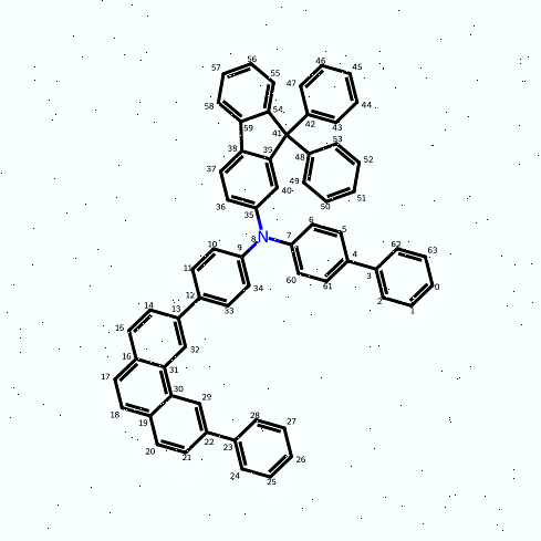 c1ccc(-c2ccc(N(c3ccc(-c4ccc5ccc6ccc(-c7ccccc7)cc6c5c4)cc3)c3ccc4c(c3)C(c3ccccc3)(c3ccccc3)c3ccccc3-4)cc2)cc1